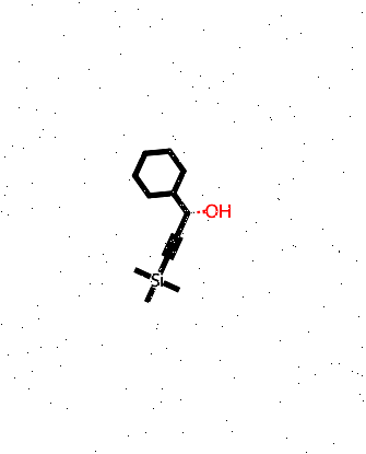 C[Si](C)(C)C#C[C@@H](O)C1CCCCC1